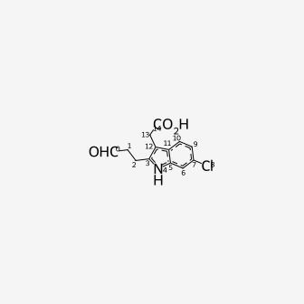 O=CCCc1[nH]c2cc(Cl)ccc2c1CC(=O)O